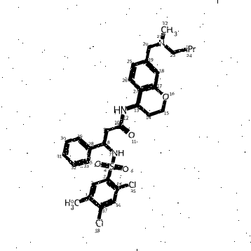 Cc1cc(S(=O)(=O)NC(CC(=O)NC2CCOc3cc(CN(C)CC(C)C)ccc32)c2ccccc2)c(Cl)cc1Cl